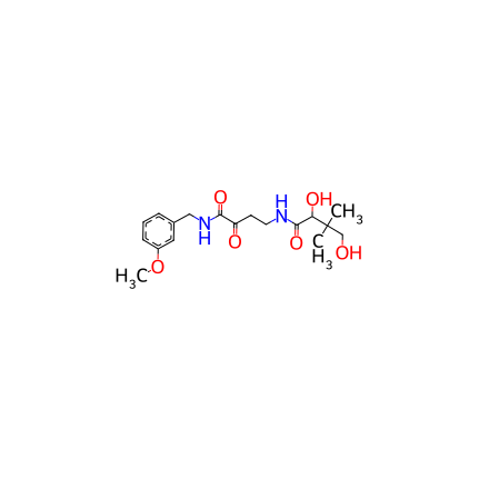 COc1cccc(CNC(=O)C(=O)CCNC(=O)C(O)C(C)(C)CO)c1